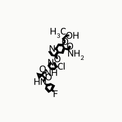 CC(O)COc1cc2nccc(Oc3ncc(NC(=O)C4(C(=O)Nc5ccc(F)cc5)CC4)cc3Cl)c2cc1C(N)=O